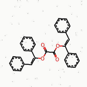 O=C(OC(=Cc1ccccc1)c1ccccc1)C(=O)OC(=Cc1ccccc1)c1ccccc1